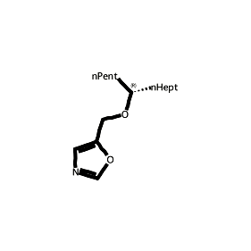 CCCCCCC[C@@H](CCCCC)OCc1cnco1